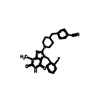 Cn1c(=O)[nH]c(=O)c2c1nc(N1CCC(Cc3ccc(C#N)cc3)CC1)n2Cc1ccccc1F